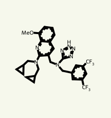 COc1cccc2cc(CN(Cc3cc(C(F)(F)F)cc(C(F)(F)F)c3)c3nn[nH]n3)c(N(CC3CC3)CC3CC3)nc12